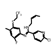 C/C=C\CN/C(=N\c1cc(SCC(F)(F)F)c(C)cc1F)c1ccc(Cl)nc1